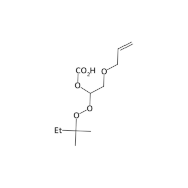 C=CCOCC(OOC(C)(C)CC)OC(=O)O